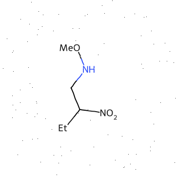 CCC(CNOC)[N+](=O)[O-]